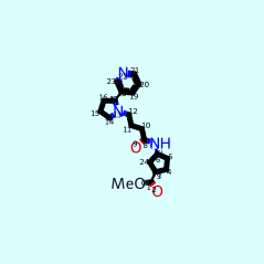 COC(=O)[C@@H]1CC[C@H](NC(=O)CCCN2CCC[C@H]2c2cccnc2)C1